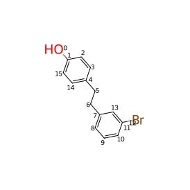 Oc1ccc(CCc2cccc(Br)c2)cc1